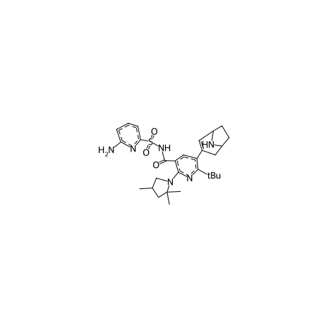 CC1CN(c2nc(C(C)(C)C)c(C3=CC4CCC(C3)N4)cc2C(=O)NS(=O)(=O)c2cccc(N)n2)C(C)(C)C1